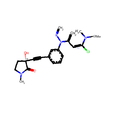 C=NN(C(=C)/C=C(/Cl)N(C)OC)c1cccc(C#C[C@]2(O)CCN(C)C2=O)c1